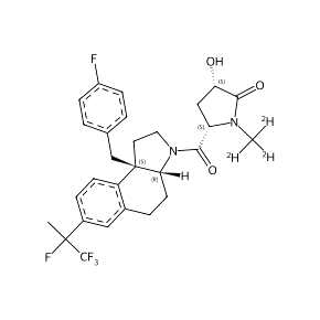 [2H]C([2H])([2H])N1C(=O)[C@@H](O)C[C@H]1C(=O)N1CC[C@@]2(Cc3ccc(F)cc3)c3ccc(C(C)(F)C(F)(F)F)cc3CC[C@@H]12